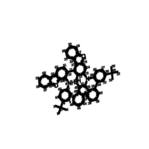 CC(C)(C)c1ccc(Nc2c(-c3c4c(cc5oc6ccccc6c35)N(c3ccc(C(C)(C)C)cc3-c3ccccc3)c3sc5ccccc5c3B4)ccc3c2oc2ccccc23)cc1